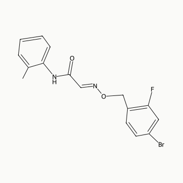 Cc1ccccc1NC(=O)/C=N/OCc1ccc(Br)cc1F